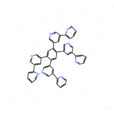 c1ccc(-c2cncc(-c3cc(-c4cncc(-c5ccccn5)c4)c(-c4cncc(-c5ccccn5)c4)cc3-c3cncc(-c4ccccn4)c3)c2)nc1